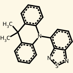 CC1(C)c2ccccc2N(c2cccc3nsnc23)c2ccccc21